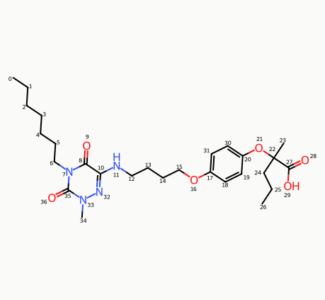 CCCCCCCn1c(=O)c(NCCCCOc2ccc(OC(C)(CCC)C(=O)O)cc2)nn(C)c1=O